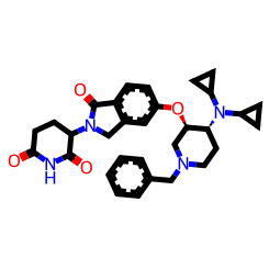 O=C1CCC(N2Cc3cc(O[C@@H]4CN(Cc5ccccc5)CC[C@H]4N(C4CC4)C4CC4)ccc3C2=O)C(=O)N1